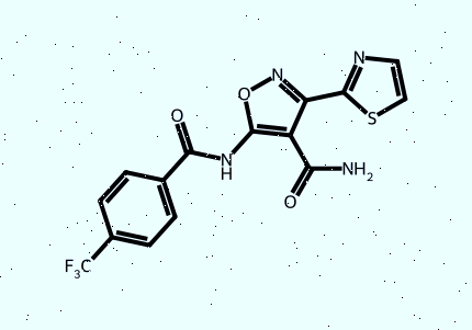 NC(=O)c1c(-c2nccs2)noc1NC(=O)c1ccc(C(F)(F)F)cc1